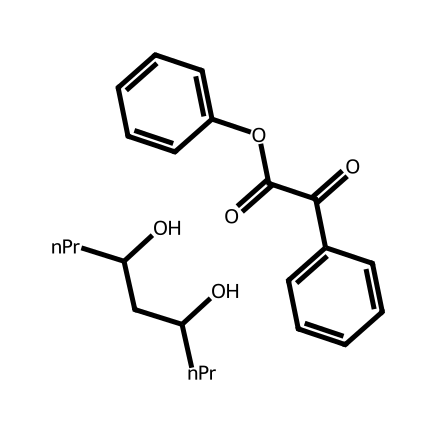 CCCC(O)CC(O)CCC.O=C(Oc1ccccc1)C(=O)c1ccccc1